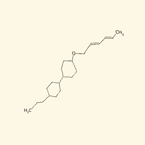 C/C=C/C=C/COC1CCC(C2CCC(CCC)CC2)CC1